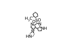 Cc1ccccc1S(=O)(=O)c1nc2[nH]ccc2c2c1ncn2N1CCNC1